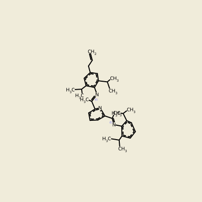 C=CCc1cc(C(C)C)c(/N=C(\C)c2cccc(/C(C)=N/c3c(C(C)C)cccc3C(C)C)n2)c(C(C)C)c1